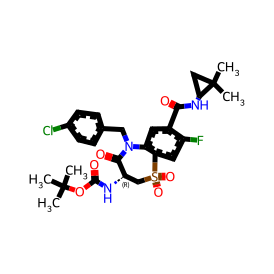 CC(C)(C)OC(=O)N[C@H]1CS(=O)(=O)c2cc(F)c(C(=O)NC3CC3(C)C)cc2N(Cc2ccc(Cl)cc2)C1=O